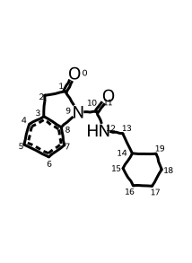 O=C1Cc2ccccc2N1C(=O)NCC1CCCCC1